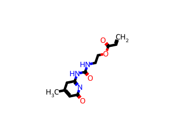 C=CC(=O)OCCNC(=O)NC1=NC(=O)C=C(C)C1